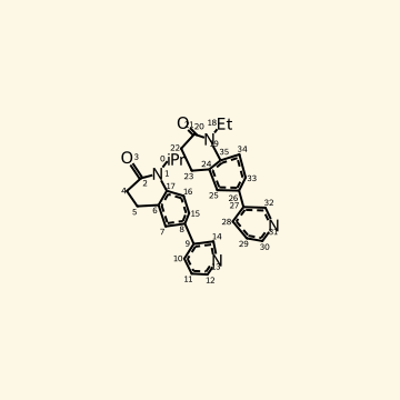 CC(C)N1C(=O)CCc2cc(-c3cccnc3)ccc21.CCN1C(=O)CCc2cc(-c3cccnc3)ccc21